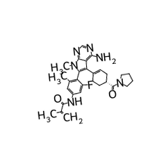 C=C(C)C(=O)Nc1cc(C)c(-c2c(C3=CC[C@H](C(=O)N4CCCC4)CC3)c3c(N)ncnc3n2C)c(F)c1